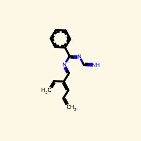 C=C/C=C(C=C)/C=N/C(=N\C=N)c1ccccc1